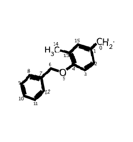 [CH2]c1ccc(OCc2ccccc2)c(C)c1